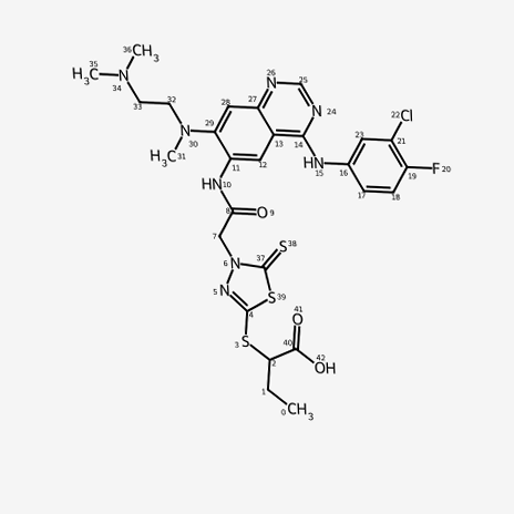 CCC(Sc1nn(CC(=O)Nc2cc3c(Nc4ccc(F)c(Cl)c4)ncnc3cc2N(C)CCN(C)C)c(=S)s1)C(=O)O